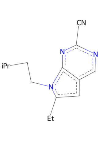 CCc1cc2cnc(C#N)nc2n1CCC(C)C